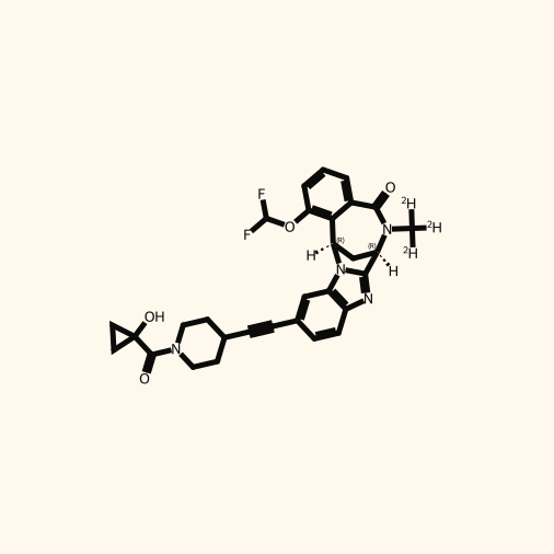 [2H]C([2H])([2H])N1C(=O)c2cccc(OC(F)F)c2[C@H]2C[C@@H]1c1nc3ccc(C#CC4CCN(C(=O)C5(O)CC5)CC4)cc3n12